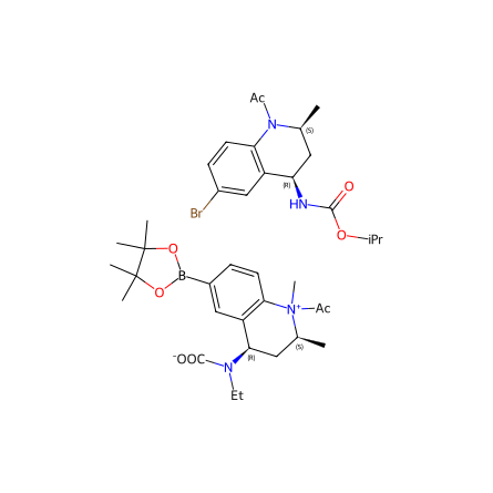 CC(=O)N1c2ccc(Br)cc2[C@H](NC(=O)OC(C)C)C[C@@H]1C.CCN(C(=O)[O-])[C@@H]1C[C@H](C)[N+](C)(C(C)=O)c2ccc(B3OC(C)(C)C(C)(C)O3)cc21